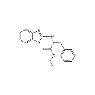 CCOC(=O)C(Cc1ccccc1)Nc1nc2ccccc2s1